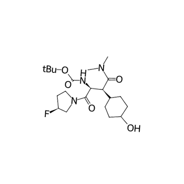 CN(C)C(=O)[C@@H](C1CCC(O)CC1)[C@H](NC(=O)OC(C)(C)C)C(=O)N1CC[C@H](F)C1